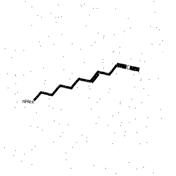 C=C=CCC=CCCCCCCCCCCC